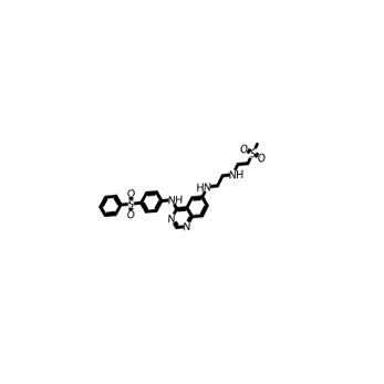 CS(=O)(=O)CCNCCNc1ccc2ncnc(Nc3ccc(S(=O)(=O)c4ccccc4)cc3)c2c1